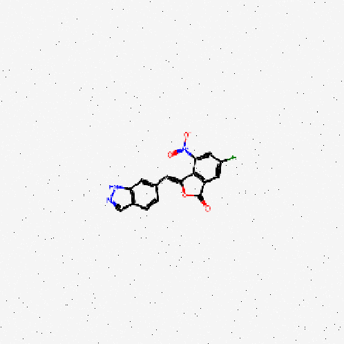 O=C1OC(=Cc2ccc3cn[nH]c3c2)c2c1cc(F)cc2[N+](=O)[O-]